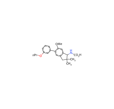 CCCOc1cccc(-c2cc3c(cc2OC)C(NC(=O)O)C(C)(C)C3)c1